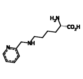 N[C@@H](CCCCNCc1ccccn1)C(=O)O